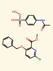 CC(=O)Nc1ccc([As](=O)(O)OO)cc1.COC(=O)c1nc(Br)ccc1OCc1ccccc1